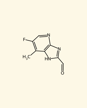 Cc1c(F)cnc2nc(C=O)[nH]c12